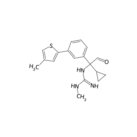 CNC(=N)NC(C=O)(c1cccc(-c2cc(C)cs2)c1)C1CC1